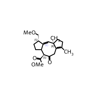 COC[C@H]1CCC2/C1=C\[C@@]1(C)CCC(C)=C1CC(=O)[C@H]2C(=O)OC